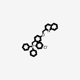 [Cl-].c1ccc([P+](Cc2ccc(OCc3ccc4ccccc4n3)cc2)(c2ccccc2)c2ccccc2)cc1